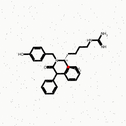 N=C(N)NCCCC[C@H](C(N)=O)N(Cc1ccc(O)cc1)C(=O)C(c1ccccc1)c1ccccc1